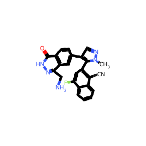 Cn1ncc(-c2ccc3c(=O)[nH]nc(CN)c3c2)c1-c1cc(F)c2ccccc2c1C#N